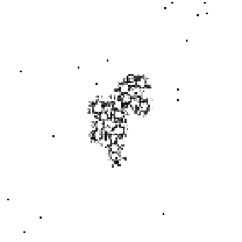 c1ccc2cc3c(cc2c1)c1ccccc1n3-c1cccc2cc3c4ccccc4n(-c4cccc5c(-c6nc7ccccc7nc6-c6cccc7oc8ccccc8c67)cccc45)c3cc12